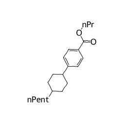 CCCCCC1CCC(c2ccc(C(=O)OCCC)cc2)CC1